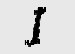 CNc1ccc(-c2nc3ccc(OCCOCCOCCOCCNC(=O)O)cc3s2)cc1